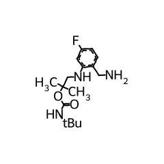 CC(C)(C)NC(=O)OC(C)(C)CNc1cc(F)ccc1CN